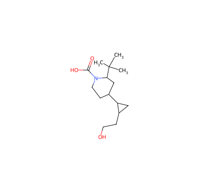 CC(C)(C)C1CC(C2CC2CCO)CCN1C(=O)O